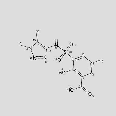 Cc1cc(C(=O)O)c(O)c(S(=O)(=O)Nc2nnn(C)c2C)c1